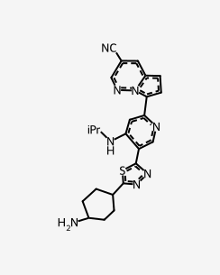 CC(C)Nc1cc(-c2ccc3cc(C#N)cnn23)ncc1-c1nnc(C2CCC(N)CC2)s1